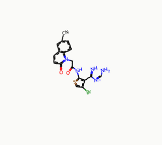 N#Cc1ccc2c(ccc(=O)n2CC(=O)Nc2scc(Br)c2C(=N)/N=C\N)c1